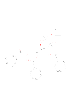 CC1(C)O[C@H]2O[C@H]([C@@H](COC(=O)c3ccccc3)OC(=O)c3ccccc3)[C@@H](OC(=O)c3ccccc3)[C@H]2O1